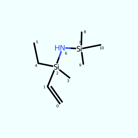 C=C[Si](C)(CC)N[Si](C)(C)C